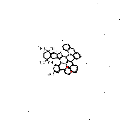 CCCCc1ccc(N2c3cc4ccccc4c4c3B(c3sc5cc6c(cc5c32)C(C)(C)CCC6(C)C)N2c3ccccc3Sc3cccc-4c32)c(-c2ccccc2)c1